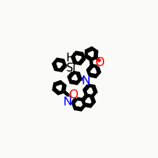 c1ccc(-c2nc3ccc4ccc5ccc(N(c6cccc([SiH](c7ccccc7)c7ccccc7)c6)c6ccc7oc8ccccc8c7c6)cc5c4c3o2)cc1